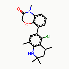 Cc1cc(-c2cccc3c2OCC(=O)N3C)c(Cl)c2c1NC(C)(C)CC2C